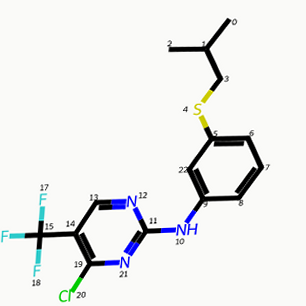 CC(C)CSc1cccc(Nc2ncc(C(F)(F)F)c(Cl)n2)c1